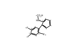 O=C(O)Nc1ccccc1-c1cc(F)c(F)cc1F